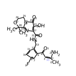 C/C(N)=C/C(=O)c1cc(F)ccc1CNC(=O)c1nc2n(c(=O)c1O)CCOC2(C)C